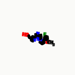 COc1ccc(F)cc1[C@H]1CCCN1c1ccc2ncc(-c3cc(CCO)ccn3)n2n1